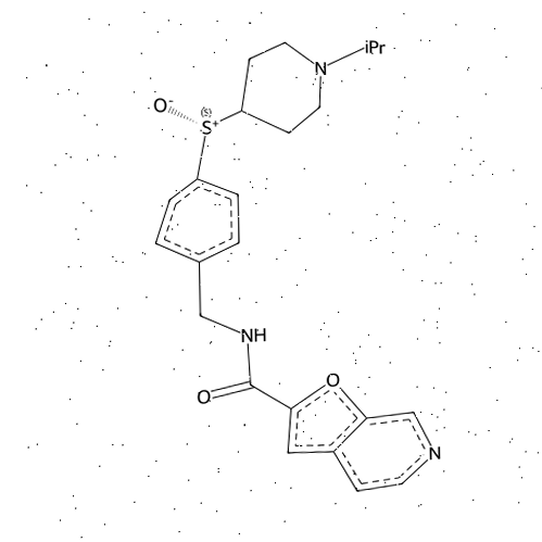 CC(C)N1CCC([S@@+]([O-])c2ccc(CNC(=O)c3cc4ccncc4o3)cc2)CC1